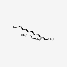 CCCCCCCCCC=CC=CC=CC=CC=CC(=O)O.O=C(O)CCC(=O)O